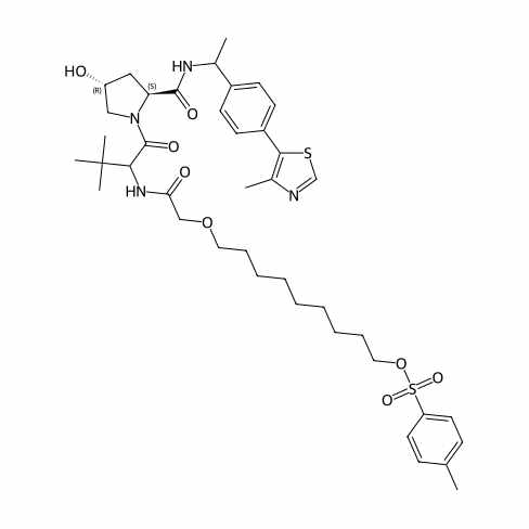 Cc1ccc(S(=O)(=O)OCCCCCCCCCOCC(=O)NC(C(=O)N2C[C@H](O)C[C@H]2C(=O)NC(C)c2ccc(-c3scnc3C)cc2)C(C)(C)C)cc1